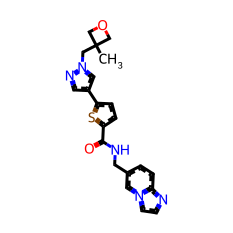 CC1(Cn2cc(-c3ccc(C(=O)NCc4ccc5nccn5c4)s3)cn2)COC1